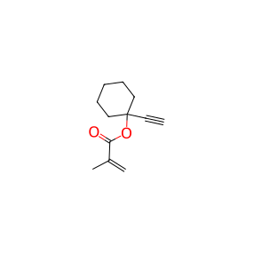 C#CC1(OC(=O)C(=C)C)CCCCC1